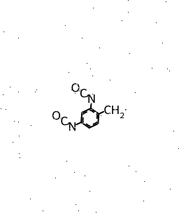 [CH2]c1ccc(N=C=O)cc1N=C=O